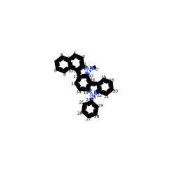 Cn1c2ccc3ccccc3c2c2ccc3c(c4ccccc4n3-c3ccccc3)c21